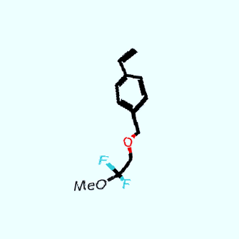 C=Cc1ccc(COCC(F)(F)OC)cc1